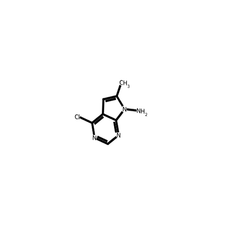 Cc1cc2c(Cl)ncnc2n1N